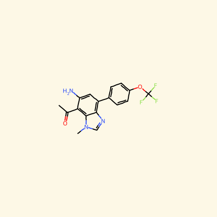 CC(=O)c1c(N)cc(-c2ccc(OC(F)(F)F)cc2)c2ncn(C)c12